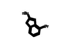 CCCCC1=Cc2c(cccc2C(C)C)C1